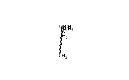 CCCCCCCCCCCCCC[N+]([O-])(CC)C(C)N